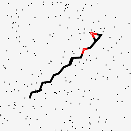 CCCCCCCCC=CCOCC1CO1